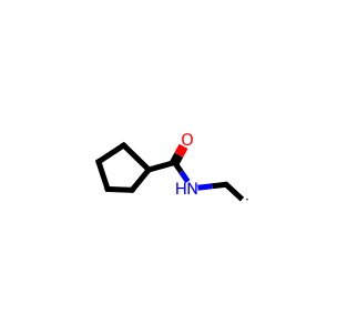 [CH2]CNC(=O)C1CCCC1